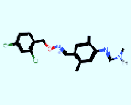 CCN(C)C=Nc1cc(C)c(/C=N/OCc2ccc(Cl)cc2Cl)cc1C